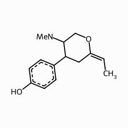 C/C=C1\CC(c2ccc(O)cc2)C(NC)CO1